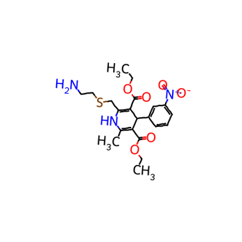 CCOC(=O)C1=C(C)NC(CSCCN)=C(C(=O)OCC)C1c1cccc([N+](=O)[O-])c1